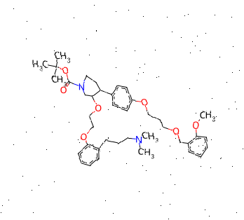 COc1ccccc1COCCCOc1ccc(C2CCN(C(=O)OC(C)(C)C)CC2OCCOc2ccccc2CCCN(C)C)cc1